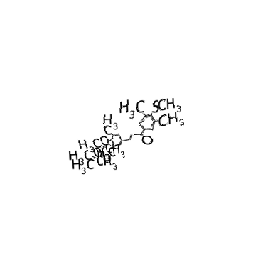 CSc1c(C)cc(C(=O)/C=C/c2cc(C)c(OC(C)(C)C(=O)OC(C)(C)C)c(C)c2)cc1C